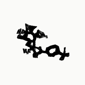 CC1=C2C(=C[C@@](C)(CO)[C@@H]2OC(=O)c2ccc(S(=O)(=O)F)cc2)C(=O)C(C)(C)C12CC2